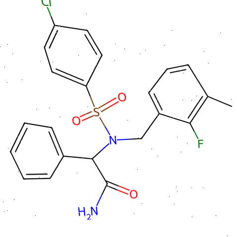 Cc1cccc(CN(C(C(N)=O)c2ccccc2)S(=O)(=O)c2ccc(Cl)cc2)c1F